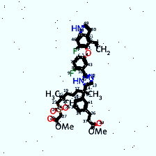 C=Cc1c(Oc2ccc(F)c(-c3ncc(C(C)(CCCC(C)(C)CS(=O)(=O)CC(=O)OC)c4cccc(CCC(=O)OC)c4)[nH]3)c2)c(F)cc2[nH]ccc12